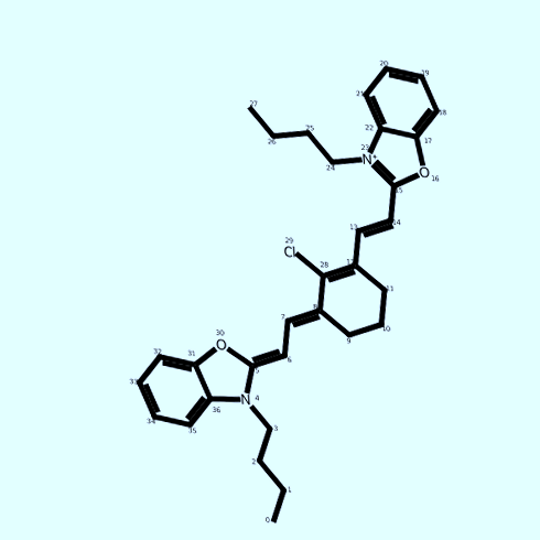 CCCCN1/C(=C/C=C2\CCCC(/C=C/c3oc4ccccc4[n+]3CCCC)=C2Cl)Oc2ccccc21